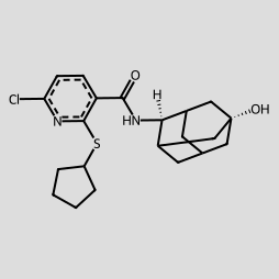 O=C(N[C@H]1C2CC3CC1C[C@](O)(C3)C2)c1ccc(Cl)nc1SC1CCCC1